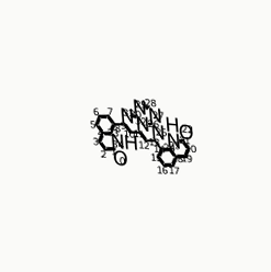 O=c1ccc2cccc(C3=CC4=CC(c5cccc6ccc(=O)[nH]c56)=NC5=NC=NC(=N3)N45)c2[nH]1